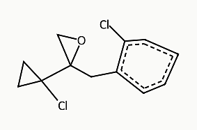 Clc1ccccc1CC1(C2(Cl)CC2)CO1